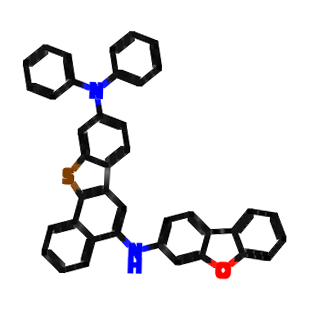 c1ccc(N(c2ccccc2)c2ccc3c(c2)sc2c4ccccc4c(Nc4ccc5c(c4)oc4ccccc45)cc32)cc1